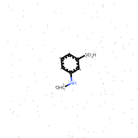 O=CNc1cccc(S(=O)(=O)O)c1